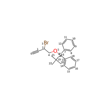 C#CC(Br)CO[Si](c1ccccc1)(c1ccccc1)C(C)(C)C